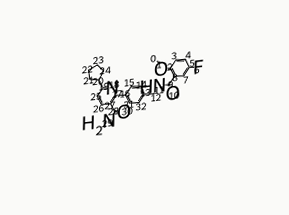 COc1ccc(F)cc1C(=O)NCc1ccc(-c2nc(C3CCCC3)ccc2C(N)=O)cc1